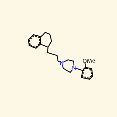 COc1ccccc1N1CCN(CCCC2CCCc3ccccc32)CC1